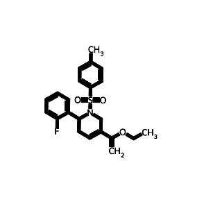 C=C(OCC)C1=CCC(c2ccccc2F)N(S(=O)(=O)c2ccc(C)cc2)C1